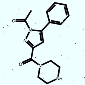 CC(=O)n1nc(C(=O)N2CCNCC2)cc1-c1ccccc1